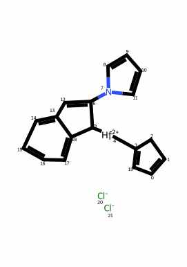 C1=CC[C]([Hf+2][CH]2C(n3cccc3)=Cc3ccccc32)=C1.[Cl-].[Cl-]